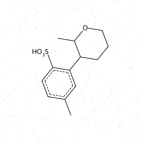 Cc1ccc(S(=O)(=O)O)c(C2CCCOC2C)c1